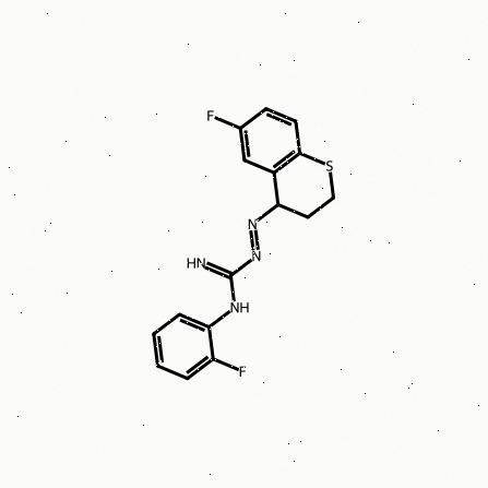 N=C(N=NC1CCSc2ccc(F)cc21)Nc1ccccc1F